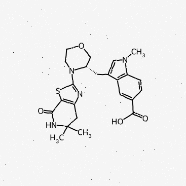 Cn1cc(C[C@H]2COCCN2c2nc3c(s2)C(=O)NC(C)(C)C3)c2cc(C(=O)O)ccc21